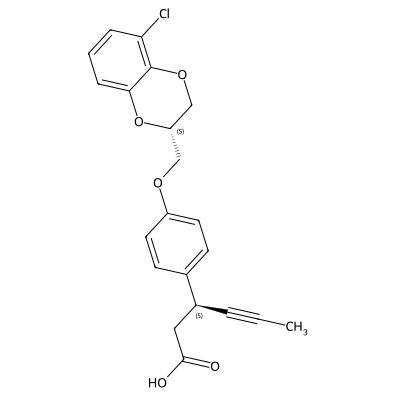 CC#C[C@@H](CC(=O)O)c1ccc(OC[C@H]2COc3c(Cl)cccc3O2)cc1